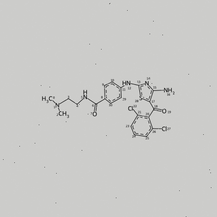 CN(C)CCNC(=O)c1ccc(Nc2nc(N)c(C(=O)c3c(Cl)cccc3Cl)s2)cc1